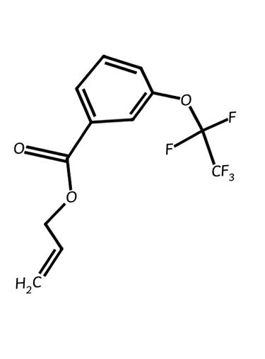 C=CCOC(=O)c1cccc(OC(F)(F)C(F)(F)F)c1